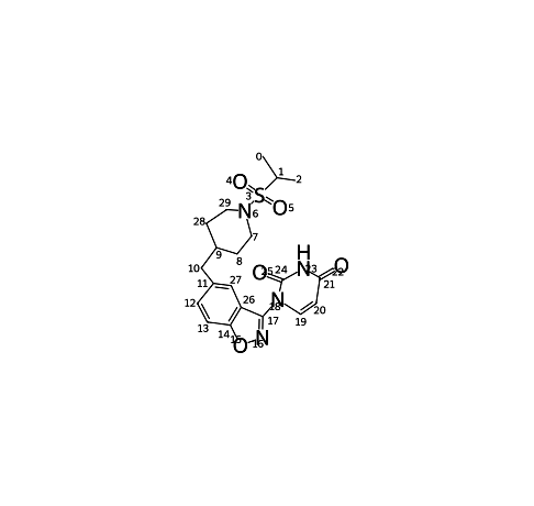 CC(C)S(=O)(=O)N1CCC(Cc2ccc3onc(-n4ccc(=O)[nH]c4=O)c3c2)CC1